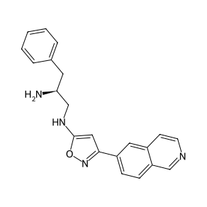 N[C@H](CNc1cc(-c2ccc3cnccc3c2)no1)Cc1ccccc1